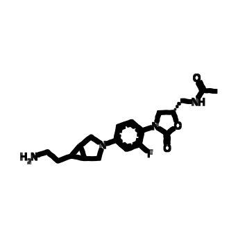 CC(=O)NC[C@H]1CN(c2ccc(N3CC4C(CCN)C4C3)cc2F)C(=O)O1